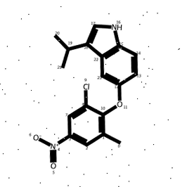 Cc1cc([N+](=O)[O-])cc(Cl)c1Oc1ccc2[nH]cc(C(C)C)c2c1